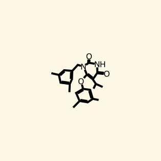 Cc1cc(C)cc(Cn2c(Oc3cc(C)cc(C)c3)c(C(C)C)c(=O)[nH]c2=O)c1